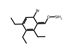 CCC1=CC(Br)C(=CO[SiH3])C(CC)=C1CC